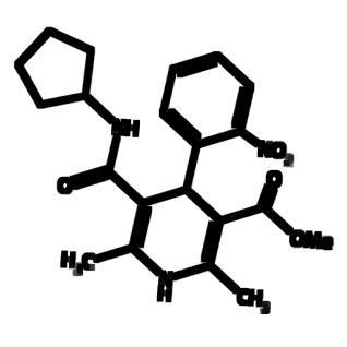 COC(=O)C1=C(C)NC(C)=C(C(=O)NC2CCCC2)C1c1ccccc1[N+](=O)[O-]